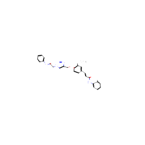 COc1cc(/C=C/C(=O)Nc2ccccc2C(=O)O)ccc1OCc1cn(CC(=O)Nc2ccccc2)nn1